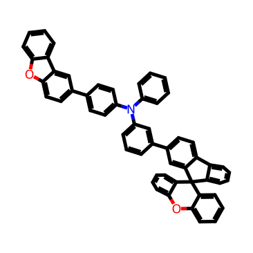 c1ccc(N(c2ccc(-c3ccc4oc5ccccc5c4c3)cc2)c2cccc(-c3ccc4c(c3)C3(c5ccccc5Oc5ccccc53)c3ccccc3-4)c2)cc1